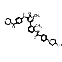 Cc1c(NC(=O)c2ccc(N3CCC(O)CC3)cc2)cccc1-c1cn(C)c(=O)c(Nc2ccc(C(=O)N3CCOCC3)cc2)n1